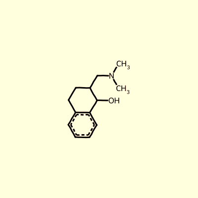 CN(C)CC1CCc2ccccc2C1O